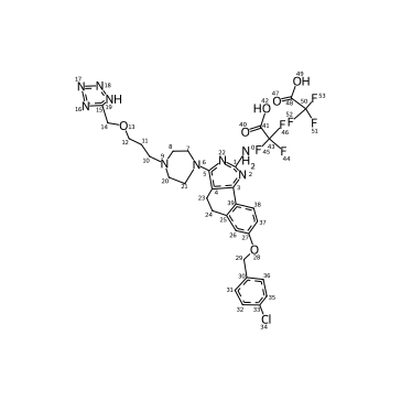 Nc1nc2c(c(N3CCN(CCCOCc4nnn[nH]4)CC3)n1)CCc1cc(OCc3ccc(Cl)cc3)ccc1-2.O=C(O)C(F)(F)F.O=C(O)C(F)(F)F